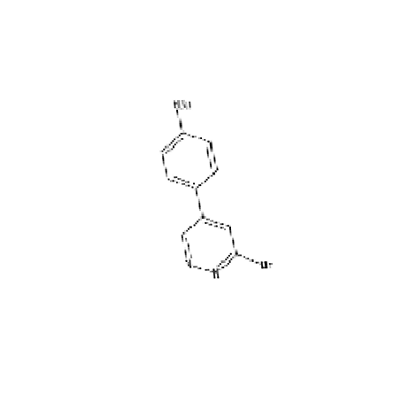 CC(C)(C)c1ccc(-c2cnnc(Br)c2)cc1